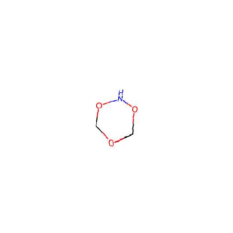 C1OCONO1